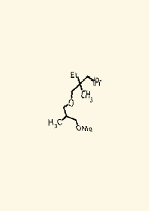 CCC(C)(COCC(C)COC)CC(C)C